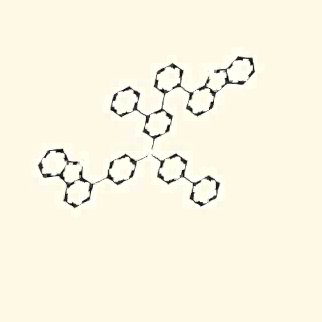 c1ccc(-c2ccc(N(c3ccc(-c4cccc5c4oc4ccccc45)cc3)c3ccc(-c4ccccc4-c4cccc5c4oc4ccccc45)c(-c4ccccc4)c3)cc2)cc1